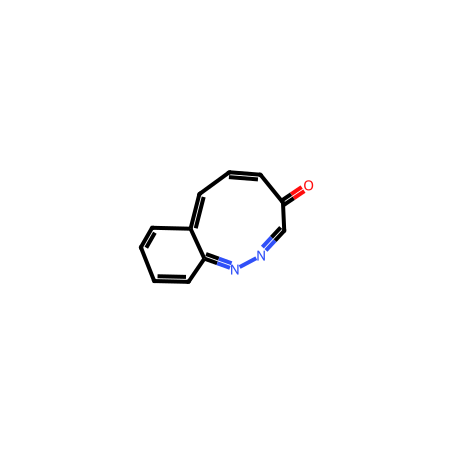 O=C1C=CC=c2ccccc2=NN=C1